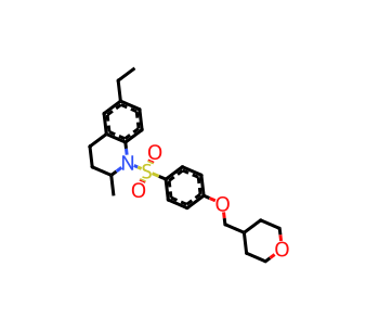 CCc1ccc2c(c1)CCC(C)N2S(=O)(=O)c1ccc(OCC2CCOCC2)cc1